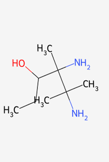 CCC(O)C(C)(N)C(C)(C)N